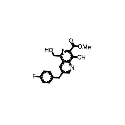 COC(=O)c1nc(CO)c2cc(Cc3ccc(F)cc3)cnc2c1O